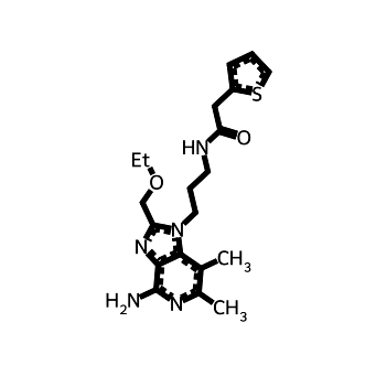 CCOCc1nc2c(N)nc(C)c(C)c2n1CCCNC(=O)Cc1cccs1